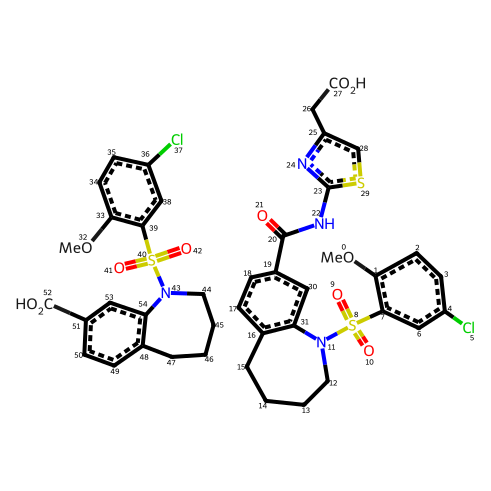 COc1ccc(Cl)cc1S(=O)(=O)N1CCCCc2ccc(C(=O)Nc3nc(CC(=O)O)cs3)cc21.COc1ccc(Cl)cc1S(=O)(=O)N1CCCCc2ccc(C(=O)O)cc21